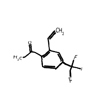 C=Cc1cc(C(F)(F)F)ccc1C(C)=O